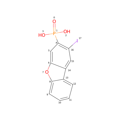 O=P(O)(O)c1cc2oc3ccccc3c2cc1I